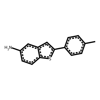 Cc1ccc(-c2cc3cc(N)ccc3s2)cc1